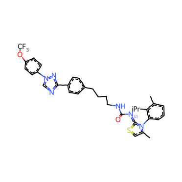 Cc1cccc(-n2c(C)cs/c2=N\C(=O)NCCCCc2ccc(-c3ncn(-c4ccc(OC(F)(F)F)cc4)n3)cc2)c1C(C)C